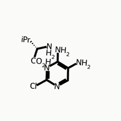 CC(C)[C@H](N)C(=O)O.Nc1cnc(Cl)nc1N